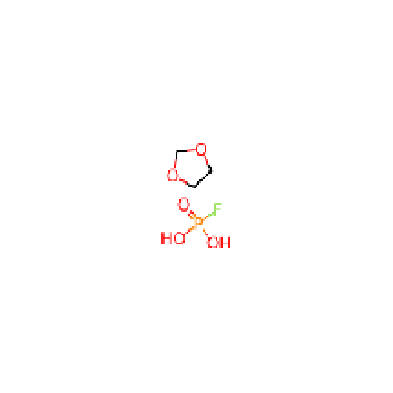 C1COCO1.O=P(O)(O)F